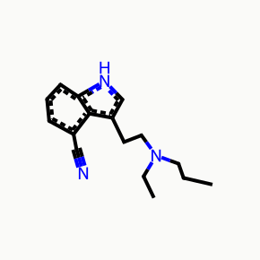 CCCN(CC)CCc1c[nH]c2cccc(C#N)c12